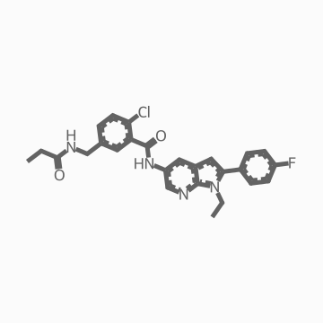 CCC(=O)NCc1ccc(Cl)c(C(=O)Nc2cnc3c(c2)cc(-c2ccc(F)cc2)n3CC)c1